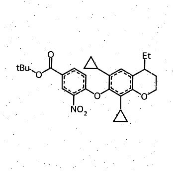 [CH2]CC1CCOc2c1cc(C1CC1)c(Oc1ccc(C(=O)OC(C)(C)C)cc1[N+](=O)[O-])c2C1CC1